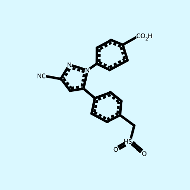 N#Cc1cc(-c2ccc(C[SH](=O)=O)cc2)n(-c2ccc(C(=O)O)cc2)n1